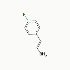 BC=Cc1ccc(F)cc1